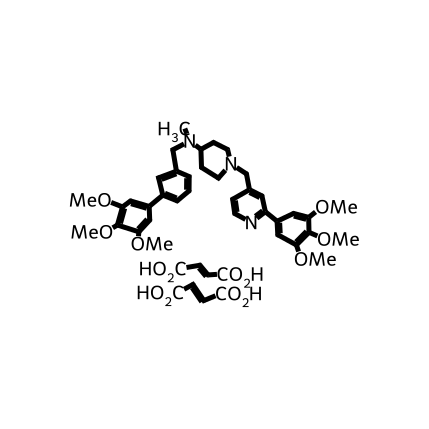 COc1cc(-c2cccc(CN(C)C3CCN(Cc4ccnc(-c5cc(OC)c(OC)c(OC)c5)c4)CC3)c2)cc(OC)c1OC.O=C(O)C=CC(=O)O.O=C(O)C=CC(=O)O